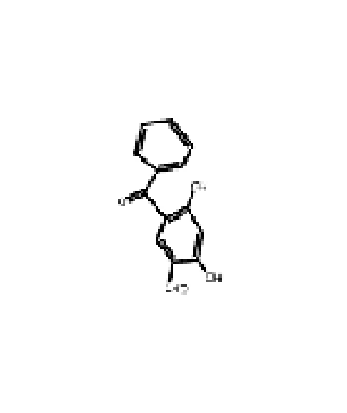 O=Cc1cc(C(=O)c2ccccc2)c(O)cc1O